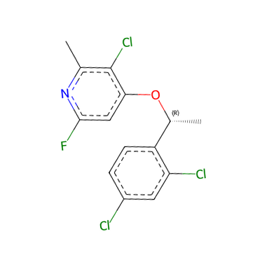 Cc1nc(F)cc(O[C@H](C)c2ccc(Cl)cc2Cl)c1Cl